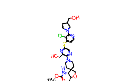 C[C@@H]1OCC2(CCN(c3ncc(Sc4ccnc(N5CCC(CO)C5)c4Cl)nc3CO)CC2)[C@@H]1NC(=O)OC(C)(C)C